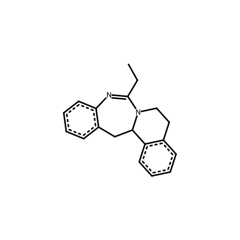 CCC1=Nc2ccccc2CC2c3ccccc3CCN12